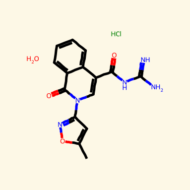 Cc1cc(-n2cc(C(=O)NC(=N)N)c3ccccc3c2=O)no1.Cl.O